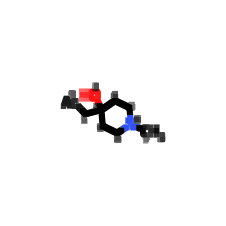 CC(=O)CC1(O)CCN(C)CC1